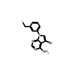 Nc1ncnc2c1c(Br)cn2-c1cccc(CI)c1